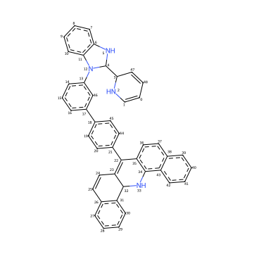 C1=CNC(C2Nc3ccccc3N2c2cccc(-c3ccc(C4=C5C=Cc6ccccc6C5Nc5c4ccc4ccccc54)cc3)c2)C=C1